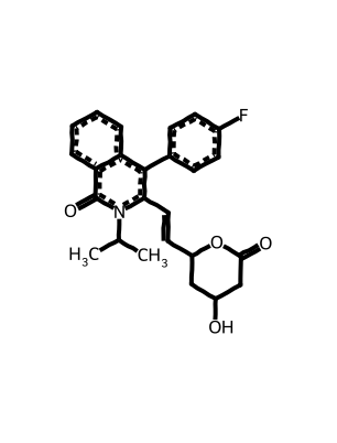 CC(C)n1c(/C=C/C2CC(O)CC(=O)O2)c(-c2ccc(F)cc2)c2ccccc2c1=O